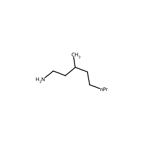 CCCCCC(C)[CH]CN